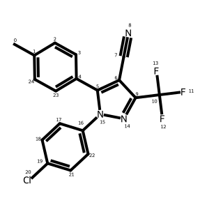 Cc1ccc(-c2c(C#N)c(C(F)(F)F)nn2-c2ccc(Cl)cc2)cc1